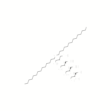 CCCCCCCCCCCCCCOCCCCCCCCCCCCCC.OCC(O)CO.OCC(O)CO.OCC(O)CO.OCC(O)CO